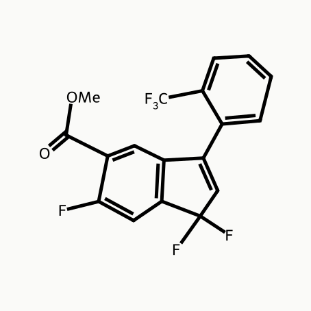 COC(=O)c1cc2c(cc1F)C(F)(F)C=C2c1ccccc1C(F)(F)F